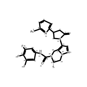 C=C1CC(c2cccc(C(C)=O)n2)CN1c1cnn2c1CN(C(=O)Nc1cc(F)c(F)c(F)c1)[C@@H](C)C2